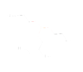 CC.CCCCCCCCCCCCOP(OCCCCCCCCCCCC)OCCCCCCCCCCCC